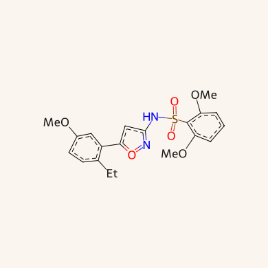 CCc1ccc(OC)cc1-c1cc(NS(=O)(=O)c2c(OC)cccc2OC)no1